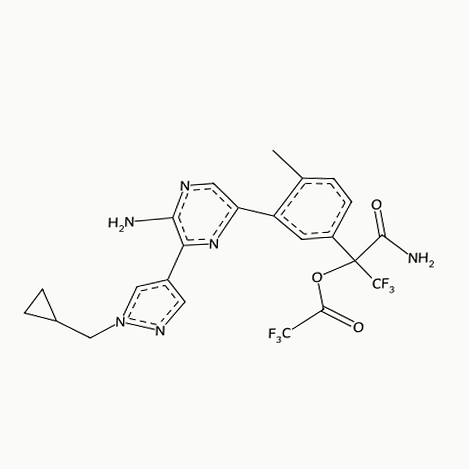 Cc1ccc(C(OC(=O)C(F)(F)F)(C(N)=O)C(F)(F)F)cc1-c1cnc(N)c(-c2cnn(CC3CC3)c2)n1